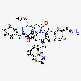 C=CCN1CC(=O)N2[C@@H](Cc3cccc(CN)c3)C(=O)N(Cc3cccc4scnc34)C[C@@H]2N1C(=O)NCc1ccccc1